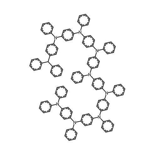 c1ccc(C(c2ccccc2)c2ccc(N(c3ccccc3)c3ccc(N(c4ccccc4)c4ccc(N(c5ccccc5)c5ccc(N(c6ccccc6)c6ccc(N(c7ccccc7)c7ccc(N(c8ccccc8)c8ccc(N(c9ccccc9)c9ccc(N(c%10ccccc%10)c%10ccccc%10)cc9)cc8)cc7)cc6)cc5)cc4)cc3)cc2)cc1